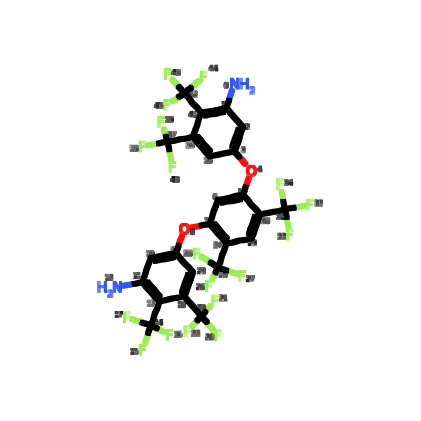 Nc1cc(Oc2cc(Oc3cc(N)c(C(F)(F)F)c(C(F)(F)F)c3)c(C(F)(F)F)cc2C(F)(F)F)cc(C(F)(F)F)c1C(F)(F)F